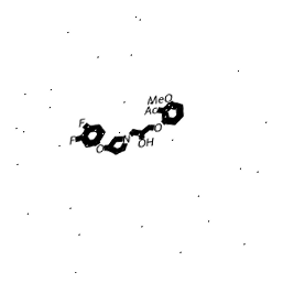 COc1cccc(OCC(O)CN2CCC(Oc3ccc(F)c(F)c3)C2)c1C(C)=O